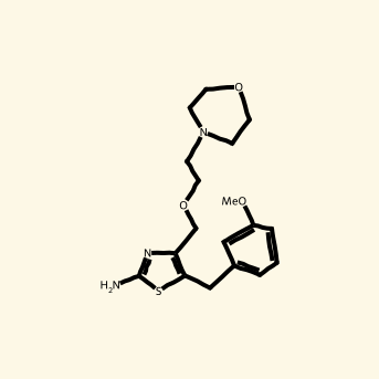 COc1cccc(Cc2sc(N)nc2COCCN2CCOCC2)c1